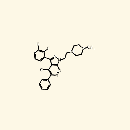 CN1CCN(CCn2nc(-c3cccc(F)c3F)c3c(Cl)c(-c4ccccc4)nnc32)CC1